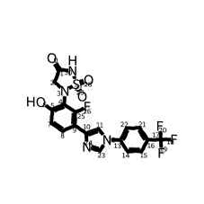 O=C1CN(c2c(O)ccc(-c3cn(-c4ccc(C(F)(F)F)cc4)cn3)c2F)S(=O)(=O)N1